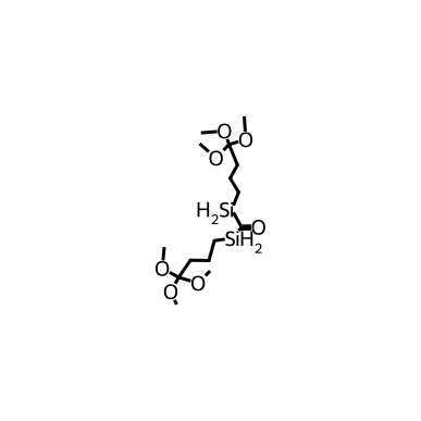 COC(CCC[SiH2]C(=O)[SiH2]CCCC(OC)(OC)OC)(OC)OC